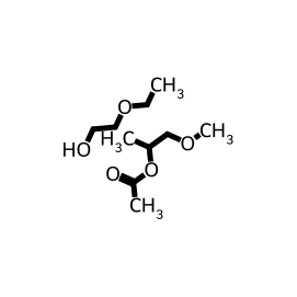 CCOCCO.COCC(C)OC(C)=O